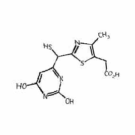 Cc1nc(C(S)c2cc(O)nc(O)n2)sc1CC(=O)O